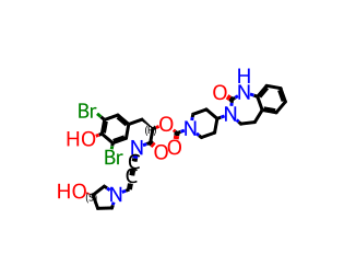 O=C(N=C=C=CN1CC[C@H](O)C1)[C@@H](Cc1cc(Br)c(O)c(Br)c1)OC(=O)N1CCC(N2CCc3ccccc3NC2=O)CC1